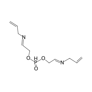 C=CCN=CCO[PH](=O)OCC=NCC=C